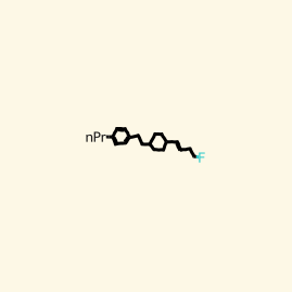 CCCc1ccc(CCC2CCC(C=CCCF)CC2)cc1